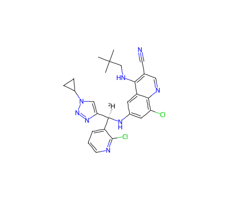 [2H][C@@](Nc1cc(Cl)c2ncc(C#N)c(NCC(C)(C)C)c2c1)(c1cn(C2CC2)nn1)c1cccnc1Cl